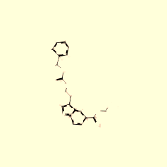 CCOC(=N)c1ccc2[nH]cc(CCNC(=O)OCc3ccccc3)c2c1